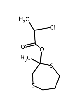 CC(Cl)C(=O)OC1(C)CSCCCS1